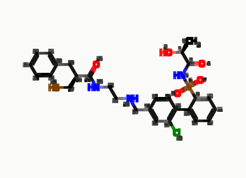 C[C@H](O)C(=O)NS(=O)(=O)c1ccccc1-c1ccc(CNCCNC(=O)[C@@H](CS)Cc2ccccc2)cc1Cl